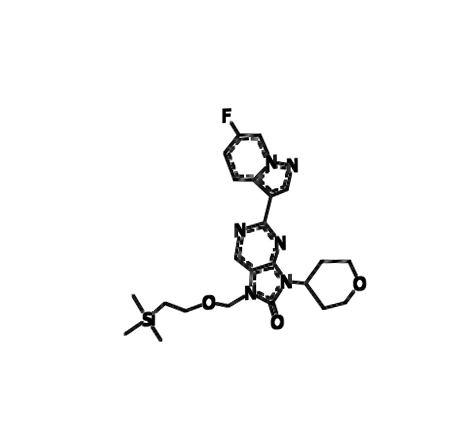 C[Si](C)(C)CCOCn1c(=O)n(C2CCOCC2)c2nc(-c3cnn4cc(F)ccc34)ncc21